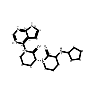 O=C1[C@H](N2CCCC(NC3CCCC3)C2=O)CCCN1c1ncnc2[nH]ccc12